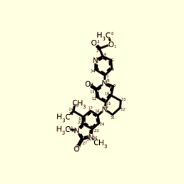 COC(=O)c1ccc(-n2cc3c(cc2=O)N(c2cc(C(C)C)c4c(c2)n(C)c(=O)n4C)CCC3)cn1